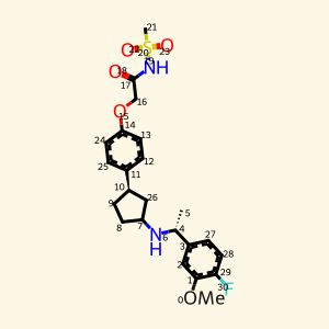 COc1cc([C@@H](C)NC2CC[C@@H](c3ccc(OCC(=O)NS(C)(=O)=O)cc3)C2)ccc1F